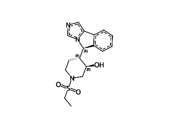 CCS(=O)(=O)N1CC[C@H]([C@@H]2c3ccccc3-c3cncn32)[C@@H](O)C1